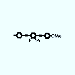 COc1ccc(C#Cc2ccc(C#CC3=CC=C(C)CC3)c(F)c2C(C)C)cc1